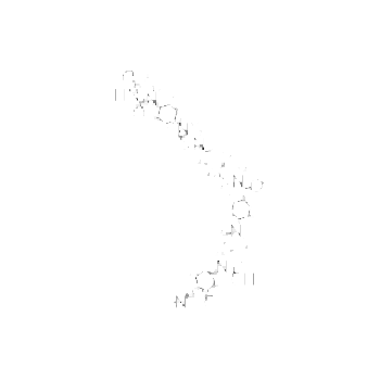 C[C@@H]1CC2(CCN(c3ccc(C(=O)N4CCC5(CCC(N6CCN(c7ccc(N8CCC(=O)NC8=O)cc7)CC6)CC5)CC4)cc3)CC2)CN1c1ccc(C#N)c(Cl)c1